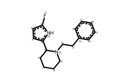 Fc1ccc(C2CCCCN2CCc2ccccc2)[nH]1